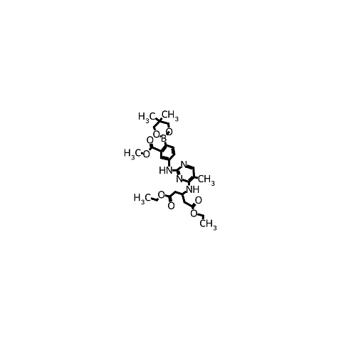 CCOC(=O)CC(CC(=O)OCC)Nc1nc(Nc2ccc(B3OCC(C)(C)CO3)c(C(=O)OC)c2)ncc1C